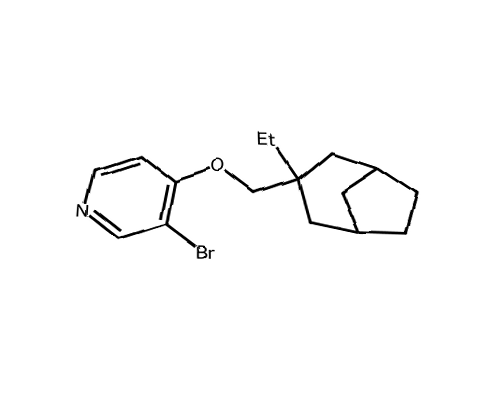 CCC1(COc2ccncc2Br)CC2CCC(C2)C1